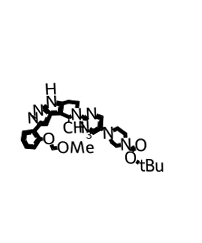 COCOc1ccccc1-c1cc2c3c([nH]c2nn1)CCN(c1ncc(N2CCN(C(=O)OC(C)(C)C)CC2)cn1)[C@@H]3C